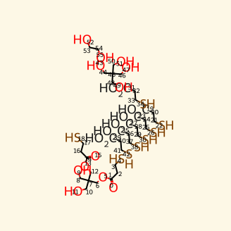 O=C(CCS)OCC(CO)(CO)COC(=O)CCS.O=C(O)CCS.O=C(O)CCS.O=C(O)CCS.O=C(O)CCS.O=C(O)CCS.O=C(O)CCS.OCC(CO)(CO)CO.OCCO